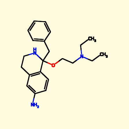 CCN(CC)CCOC1(Cc2ccccc2)NCCc2cc(N)ccc21